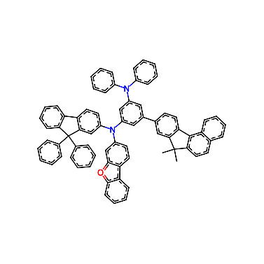 CC1(C)c2cc(-c3cc(N(c4ccccc4)c4ccccc4)cc(N(c4ccc5c(c4)C(c4ccccc4)(c4ccccc4)c4ccccc4-5)c4ccc5c(c4)oc4ccccc45)c3)ccc2-c2c1ccc1ccccc21